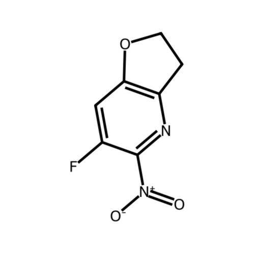 O=[N+]([O-])c1nc2c(cc1F)OCC2